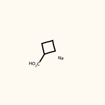 O=C(O)C1CCC1.[Na]